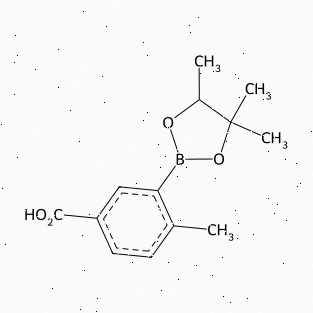 Cc1ccc(C(=O)O)cc1B1OC(C)C(C)(C)O1